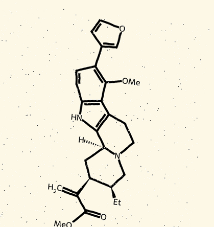 C=C(C(=O)OC)[C@H]1C[C@H]2c3[nH]c4ccc(-c5ccoc5)c(OC)c4c3CCN2C[C@H]1CC